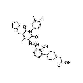 CC1=C(CN2CCCC2)C(=O)N(c2ccc(C)c(C)c2)C(=O)/C1=N\Nc1cccc(C2CCN(CC(=O)O)CC2)c1O